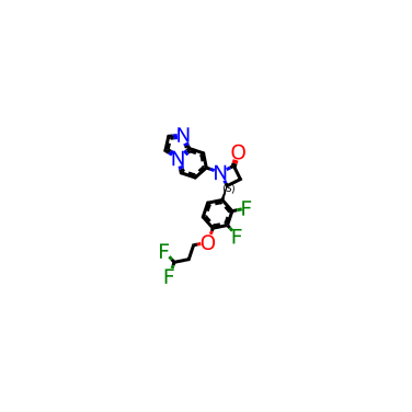 O=C1C[C@@H](c2ccc(OCCC(F)F)c(F)c2F)N1c1ccn2ccnc2c1